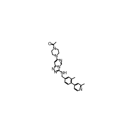 CC(=O)N1CCN(c2cc3nnc(NCc4ccc(-c5ccnc(C)c5)c(C)c4)n3cn2)CC1